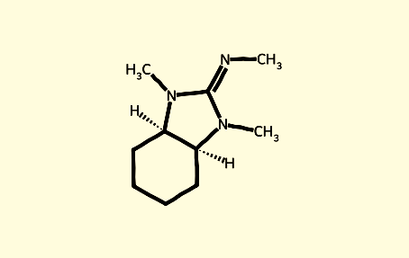 C/N=C1/N(C)[C@@H]2CCCC[C@@H]2N1C